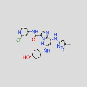 Cc1cc(Nc2cc(N[C@H]3CC[C@H](O)CC3)nn3c(C(=O)Nc4ccnc(Cl)c4)cnc23)nn1C